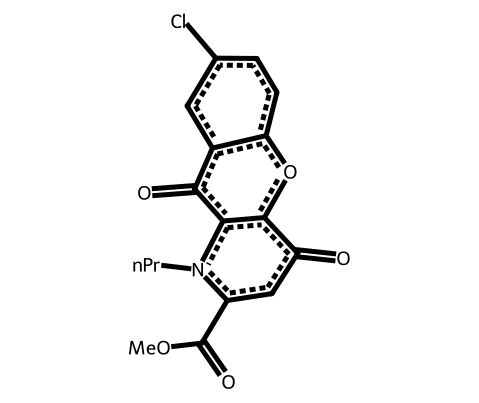 CCCn1c(C(=O)OC)cc(=O)c2oc3ccc(Cl)cc3c(=O)c21